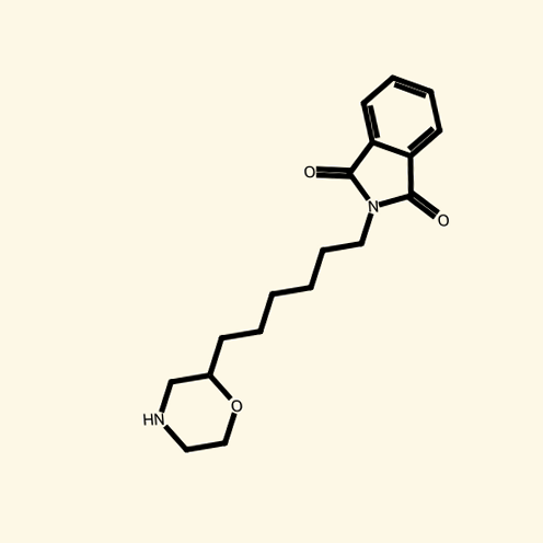 O=C1c2ccccc2C(=O)N1CCCCCCC1CNCCO1